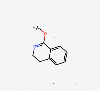 COC1=NCCc2ccccc21